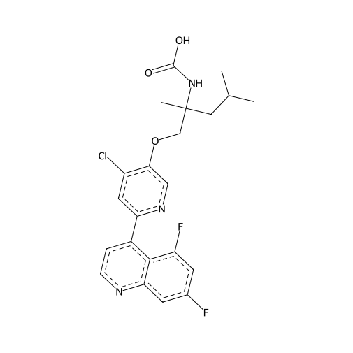 CC(C)CC(C)(COc1cnc(-c2ccnc3cc(F)cc(F)c23)cc1Cl)NC(=O)O